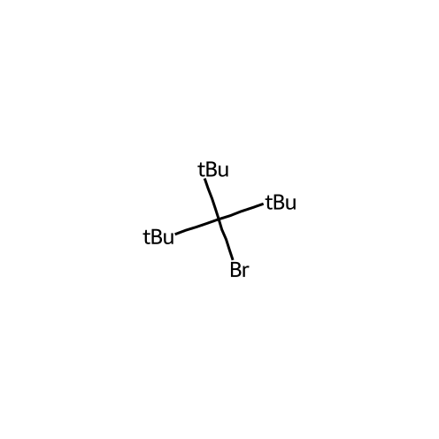 CC(C)(C)C(Br)(C(C)(C)C)C(C)(C)C